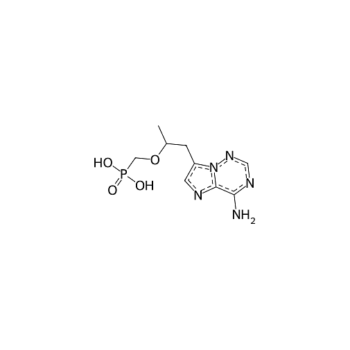 CC(Cc1cnc2c(N)ncnn12)OCP(=O)(O)O